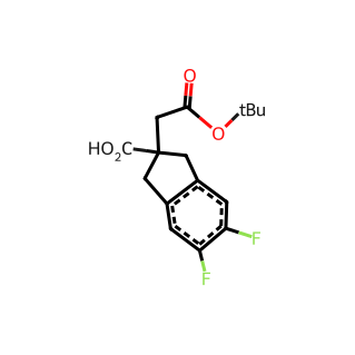 CC(C)(C)OC(=O)CC1(C(=O)O)Cc2cc(F)c(F)cc2C1